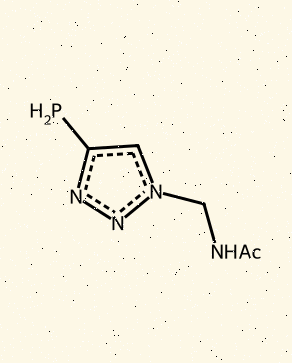 CC(=O)NCn1cc(P)nn1